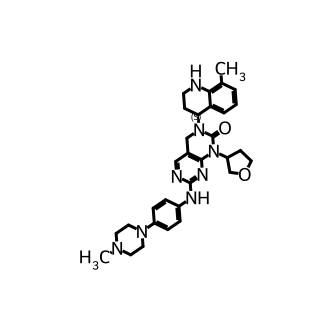 Cc1cccc2c1NCC[C@@H]2N1Cc2cnc(Nc3ccc(N4CCN(C)CC4)cc3)nc2N(C2CCOC2)C1=O